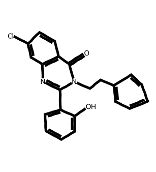 O=c1c2ccc(Cl)cc2nc(-c2ccccc2O)n1CCc1ccccc1